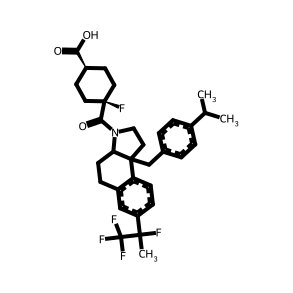 CC(C)c1ccc(CC23CCN(C(=O)[C@]4(F)CC[C@@H](C(=O)O)CC4)C2CCc2cc(C(C)(F)C(F)(F)F)ccc23)cc1